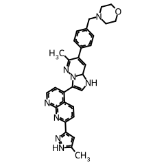 CC1=NN2C(c3ccnc4nc(-c5cc(C)[nH]n5)ccc34)=CNC2C=C1c1ccc(CN2CCOCC2)cc1